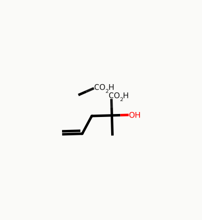 C=CCC(C)(O)C(=O)O.CC(=O)O